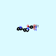 CCNS(=O)(=O)c1ccc(C(=O)N2CCCc3ccc(-c4cnc5ccccc5c4)cc3C2)cc1